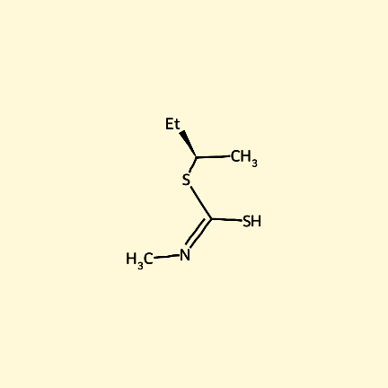 CC[C@@H](C)S/C(S)=N\C